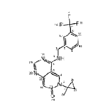 CC1(n2cc3c(NCc4cccc(C(F)(F)F)c4)ncnc3cc2=O)CC1